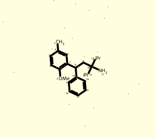 COc1ccc(C)cc1C(CC(N)(C(C)C)C(C)C)c1ccccc1